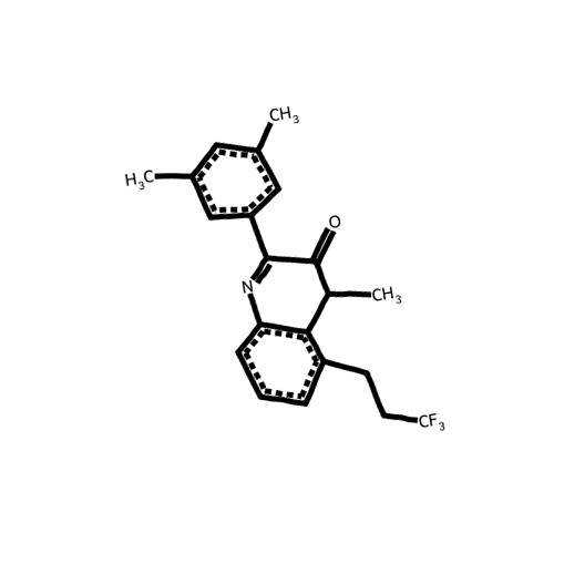 Cc1cc(C)cc(C2=Nc3cccc(CCC(F)(F)F)c3C(C)C2=O)c1